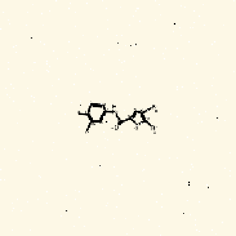 Cc1ccc(NC(=O)c2cc(Br)c(Br)s2)cc1C